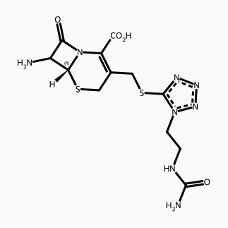 NC(=O)NCCn1nnnc1SCC1=C(C(=O)O)N2C(=O)C(N)[C@H]2SC1